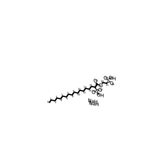 CCCCCCCCCCCCCCCCC(C(=O)OCCS(=O)(=O)O)S(=O)(=O)O.[NaH].[NaH]